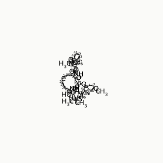 COc1ccc2c(O[C@@H]3C[C@H]4C(=O)N[C@]5(C(=O)O)CC5/C=C\CCCCC[C@H](NC(=O)O[C@H](CN(C)S(=O)(=O)c5ccccc5)C5CCC5)C(=O)N4C3)cc(-c3csc(NC(C)C)n3)nc2c1